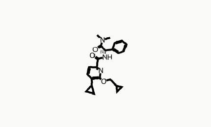 CN(C)C(=O)[C@@H](NC(=O)c1ccc(C2CC2)c(OCC2CC2)n1)c1ccccc1